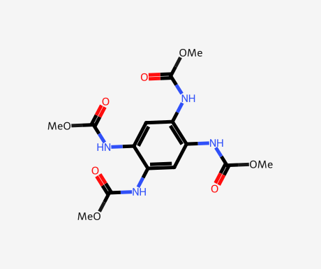 COC(=O)Nc1cc(NC(=O)OC)c(NC(=O)OC)cc1NC(=O)OC